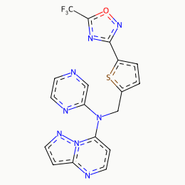 FC(F)(F)c1nc(-c2ccc(CN(c3cnccn3)c3ccnc4ccnn34)s2)no1